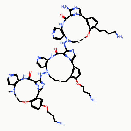 CN1CCOc2ccc(OCCCN)cc2-c2cnc(NN3CCCCc4cc(ccc4OCCCN)-c4cnc(NN5CCCOc6cc(ccc6CCCCN)-c6cnc(N)c(n6)C(=O)Nc6cnccc65)c(n4)C(=O)Nc4cnccc43)c(n2)C(=O)Nc2cnccc21